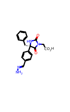 NN=Cc1ccc([C@@]2(Cc3ccccc3)NC(=O)N(CC(=O)O)C2=O)cc1